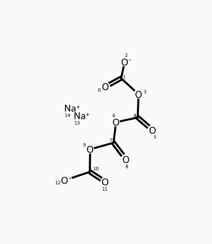 O=C([O-])OC(=O)OC(=O)OC(=O)[O-].[Na+].[Na+]